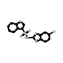 O=S(=O)(Nc1nc2ccc(Cl)cc2s1)c1csc2ccccc12